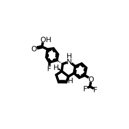 O=C(O)c1ccc([C@@H]2Nc3ccc(OC(F)F)cc3[C@@H]3C=CC[C@@H]32)c(F)c1